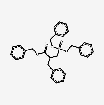 O=C(OCc1ccccc1)C(Cc1ccccc1)CP(=O)(OCc1ccccc1)OCc1ccccc1